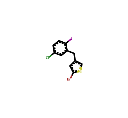 Clc1ccc(I)c(Cc2csc(Br)c2)c1